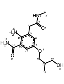 CCNC(=O)Cc1cc(OCC(C)CO)cc(C(N)=O)c1N